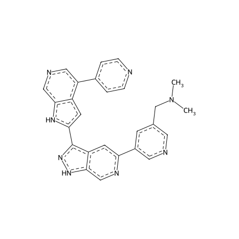 CN(C)Cc1cncc(-c2cc3c(-c4cc5c(-c6ccncc6)cncc5[nH]4)n[nH]c3cn2)c1